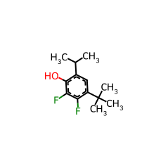 CC(C)c1cc(C(C)(C)C)c(F)c(F)c1O